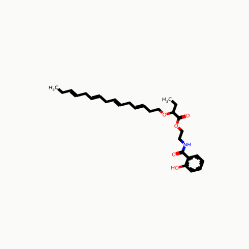 CCC=CCC=CCC=CCC=CCCOC(CC)C(=O)OCCNC(=O)c1ccccc1O